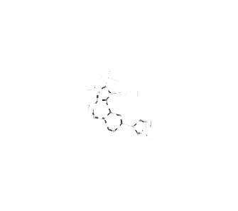 CCCCc1c([Si](C)(C)C)[nH]c2ncc3ccc(-c4cnn(C)c4)cc3c12